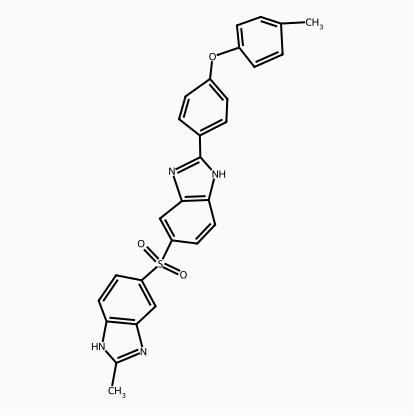 Cc1ccc(Oc2ccc(-c3nc4cc(S(=O)(=O)c5ccc6[nH]c(C)nc6c5)ccc4[nH]3)cc2)cc1